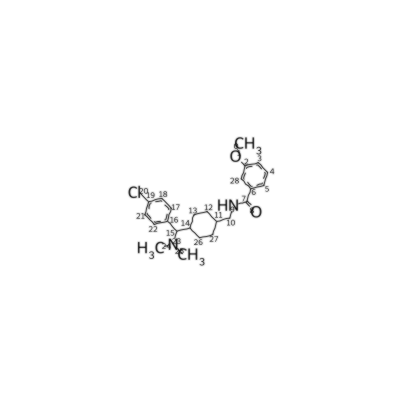 COc1cccc(C(=O)NCC2CCC(C(c3ccc(Cl)cc3)N(C)C)CC2)c1